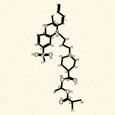 C=C/C=C\C1=C(C)Sc2ccc(S(C)(=O)=O)cc2N1CCCN1CCC(C(=O)OC(C)OC(=O)C(C)C)CC1